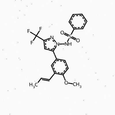 CC=Cc1cc(-c2cc(C(F)(F)F)nn2NS(=O)(=O)c2ccccc2)ccc1OC